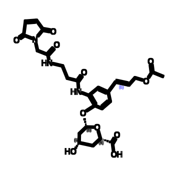 CC(=O)OC/C=C/c1ccc(O[C@H]2C[C@@H](O)C[C@@H](C(=O)O)O2)c(NC(=O)CCNC(=O)CN2C(=O)C=CC2=O)c1